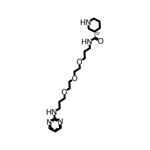 O=C(NCCCOCCOCCOCCCNc1ncccn1)[C@H]1CCCNC1